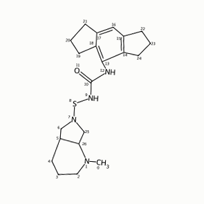 CN1CCCC2CN(SNC(=O)Nc3c4c(cc5c3CCC5)CCC4)CC21